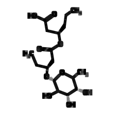 CCC[C@H](CC(=O)O)OC(=O)C[C@H](CC)O[C@@H]1OC(C)[C@H](O)[C@H](O)C1O